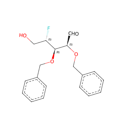 O=C[C@@H](OCc1ccccc1)[C@@H](OCc1ccccc1)[C@@H](F)CO